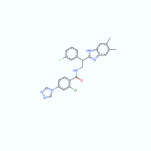 Cc1cc2nc(C(CNC(=O)c3ccc(-n4cnnc4)cc3Cl)c3cccc(F)c3)[nH]c2cc1C